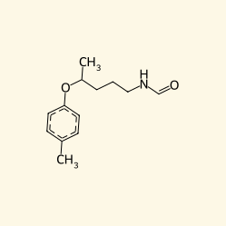 Cc1ccc(OC(C)CCCNC=O)cc1